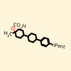 CCCCCc1ccc(C2CCC(C3CCC(C)(OC(=O)O)CC3)CC2)cc1